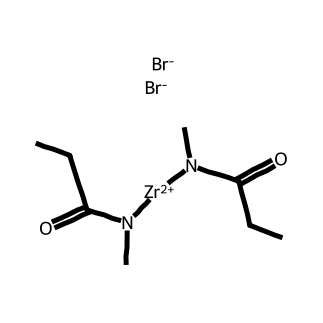 CCC(=O)[N](C)[Zr+2][N](C)C(=O)CC.[Br-].[Br-]